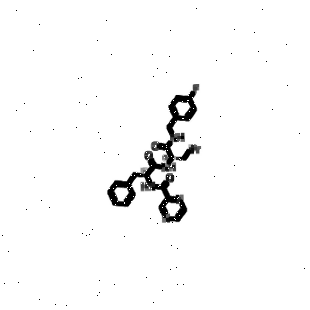 CC(C)C[C@H](NC(=O)[C@H](Cc1ccccc1)NC(=O)c1cnccn1)C(=O)NCc1ccc(F)cc1